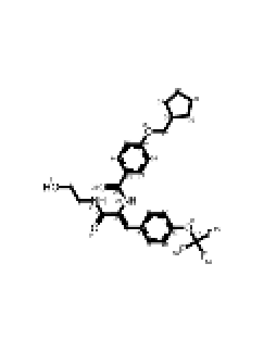 O=C(NCCO)C(=Cc1ccc(OC(F)(F)F)cc1)NC(=O)c1ccc(OCC2CCCC2)cc1